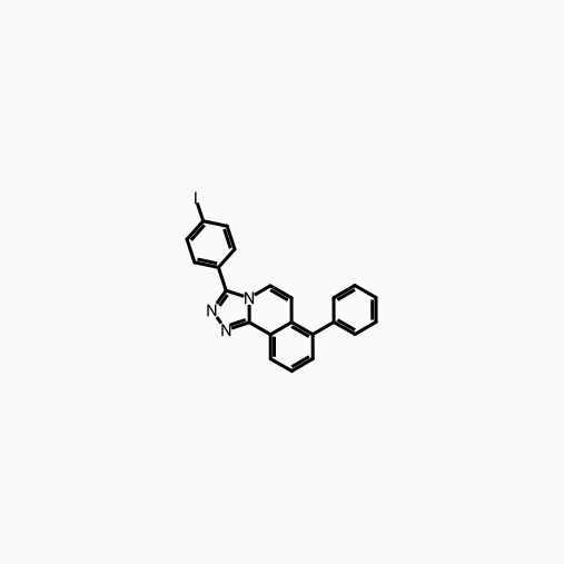 Ic1ccc(-c2nnc3c4cccc(-c5ccccc5)c4ccn23)cc1